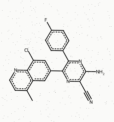 Cc1ccnc2c(Cl)cc(-c3nc(C#N)c(N)nc3-c3ccc(F)cc3)cc12